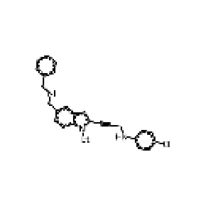 CCn1c(C#CCNc2ccc(Cl)cc2)cc2cc(CNCc3ccccc3)ccc21